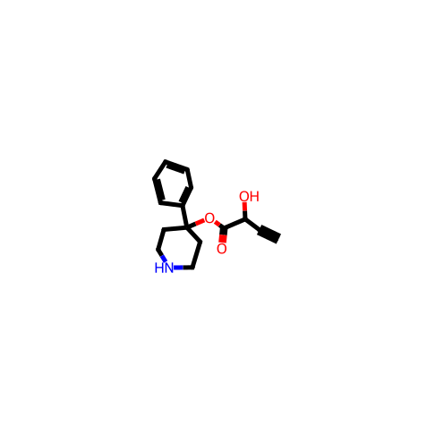 C#CC(O)C(=O)OC1(c2ccccc2)CCNCC1